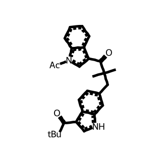 CC(=O)n1cc(C(=O)C(C)(C)Cc2ccc3c(C(=O)C(C)(C)C)c[nH]c3c2)c2ccccc21